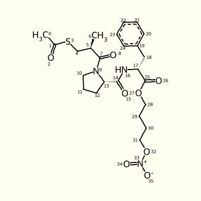 CC(=O)SC[C@@H](C)C(=O)N1CCC[C@H]1C(=O)N[C@H](Cc1ccccc1)C(=O)OCCCCO[N+](=O)[O-]